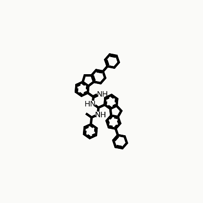 CC(NC(NC(=N)c1cccc2c1C1=C(C=C(C3=CC=CCC3)CC1)C2)c1cccc2c1-c1ccc(C3=CC=CCC3)cc1C2)c1ccccc1